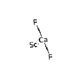 [F][Ca][F].[Sc]